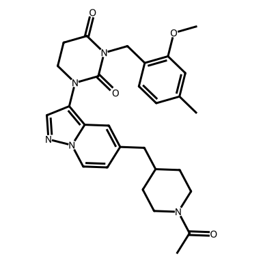 COc1cc(C)ccc1CN1C(=O)CCN(c2cnn3ccc(CC4CCN(C(C)=O)CC4)cc23)C1=O